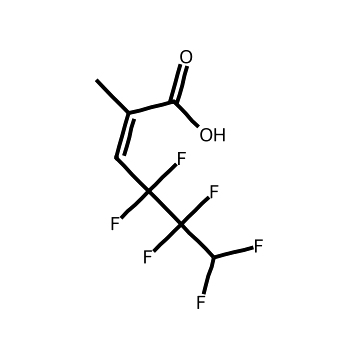 CC(=CC(F)(F)C(F)(F)C(F)F)C(=O)O